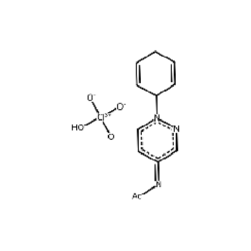 CC(=O)N=c1ccn(C2C=CCC=C2)nc1.[O-][Cl+3]([O-])([O-])O